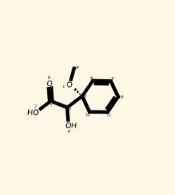 CO[C@]1(C(O)C(=O)O)C=CC=CC1